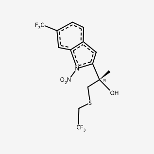 C[C@@](O)(CSCC(F)(F)F)c1cc2ccc(C(F)(F)F)cc2n1[N+](=O)[O-]